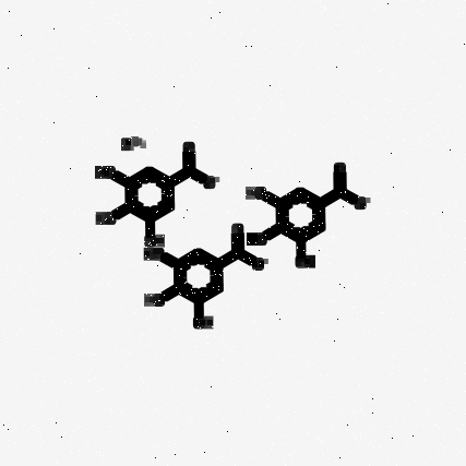 O=C([O-])c1cc(O)c(O)c(O)c1.O=C([O-])c1cc(O)c(O)c(O)c1.O=C([O-])c1cc(O)c(O)c(O)c1.[Bi+3]